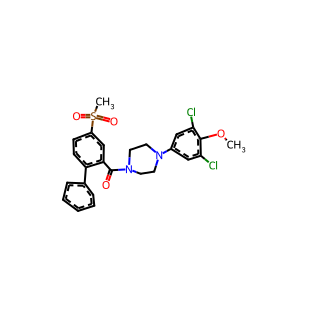 COc1c(Cl)cc(N2CCN(C(=O)c3cc(S(C)(=O)=O)ccc3-c3ccccc3)CC2)cc1Cl